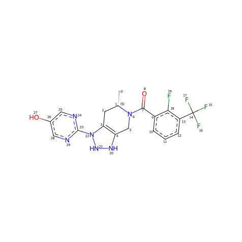 C[C@H]1CC2=C(CN1C(=O)c1cccc(C(F)(F)F)c1F)NNN2c1ncc(O)cn1